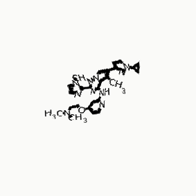 Cc1c(-c2ccn(C3CC3)n2)cn2nc(-c3nccn3C)nc(Nc3cc(OCCN(C)C)ccn3)c12